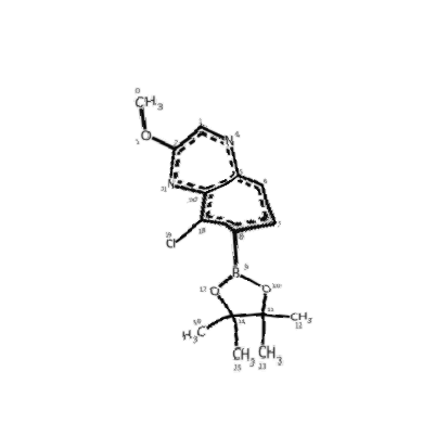 COc1cnc2ccc(B3OC(C)(C)C(C)(C)O3)c(Cl)c2n1